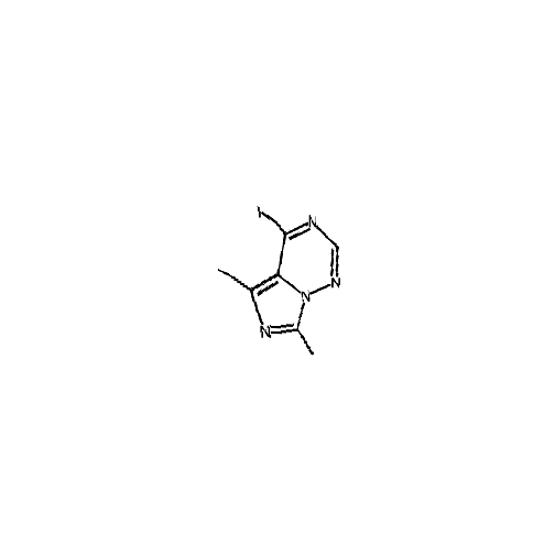 Cc1nc(C)n2ncnc(I)c12